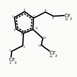 FC(F)(F)CCc1cccc(CCC(F)(F)F)c1CCC(F)(F)F